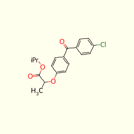 CC(C)OC(=O)C(C)Oc1ccc(C(=O)c2ccc(Cl)cc2)cc1